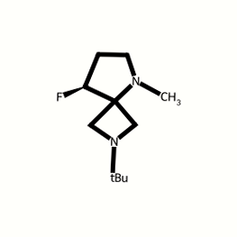 CN1CC[C@H](F)C12CN(C(C)(C)C)C2